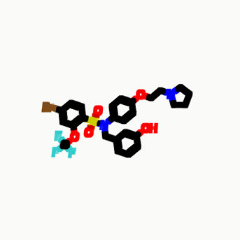 O=S(=O)(c1ccc(Br)cc1OC(F)(F)F)N(Cc1cccc(O)c1)c1ccc(OCCN2CCCC2)cc1